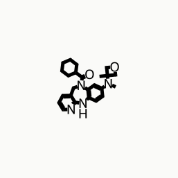 CN(c1ccc2c(c1)N(C(=O)C1CCCCC1)Cc1cccnc1N2)C1(C)COC1